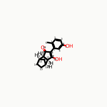 Cc1ccc(O)cc1C1=C(O)[C@H]2[C@H]3CC[C@H](C3)[C@H]2C1=O